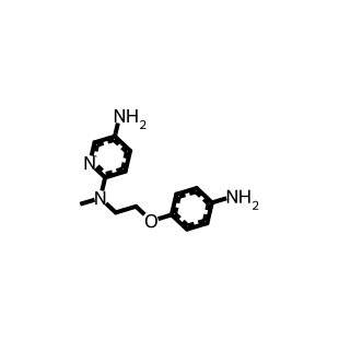 CN(CCOc1ccc(N)cc1)c1ccc(N)cn1